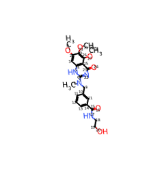 COc1cc2[nH]c(N(C)Cc3cccc(C(=O)NCCO)c3)nc(=O)c2c(OC)c1OC